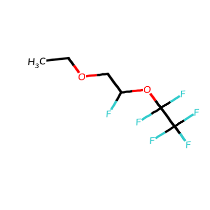 CCOCC(F)OC(F)(F)C(F)(F)F